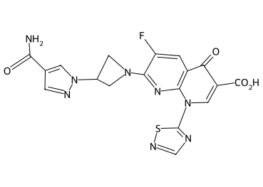 NC(=O)c1cnn(C2CN(c3nc4c(cc3F)c(=O)c(C(=O)O)cn4-c3ncns3)C2)c1